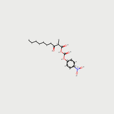 CCCCCCCC(=O)C(C)C(=O)OC(=O)Oc1ccc([N+](=O)[O-])cc1